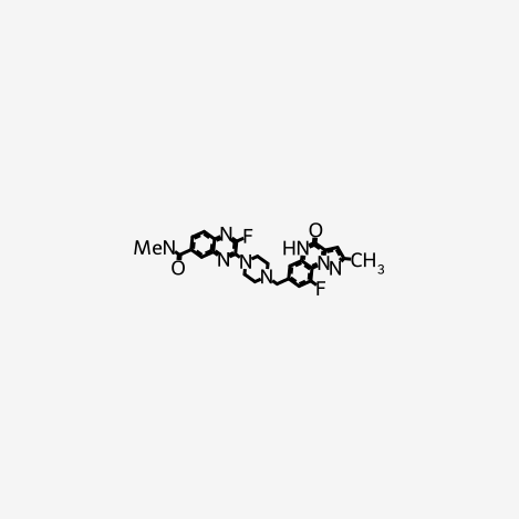 CNC(=O)c1ccc2nc(F)c(N3CCN(Cc4cc(F)c5c(c4)[nH]c(=O)c4cc(C)nn45)CC3)nc2c1